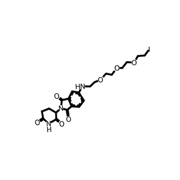 O=C1CCC(N2C(=O)c3ccc(NCCOCCOCCOCCI)cc3C2=O)C(=O)N1